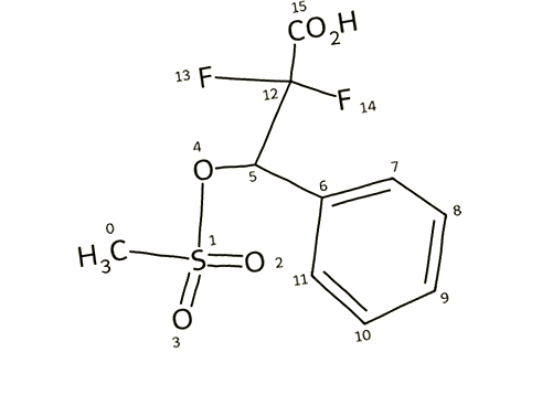 CS(=O)(=O)OC(c1ccccc1)C(F)(F)C(=O)O